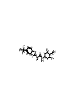 CN(C(=O)NC1CC(F)C(C#N)C(F)C1)c1nc2ccc(C(F)(F)F)cc2s1